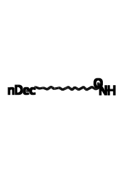 CCCCCCCCCCCCCCCCCCCCCCCCCCC([NH])=O